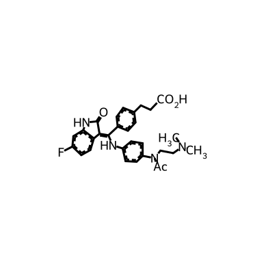 CC(=O)N(CCN(C)C)c1ccc(NC(=C2C(=O)Nc3cc(F)ccc32)c2ccc(CCC(=O)O)cc2)cc1